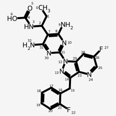 CCC(NC(=O)O)c1c(N)nc(-n2nc(Cc3ccccc3F)c3ncc(F)cc32)nc1N